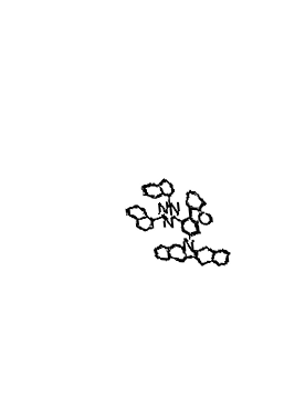 c1ccc2cc3c(cc2c1)c1cc2ccccc2cc1n3-c1cc(-c2nc(-c3cccc4ccccc34)nc(-c3cccc4ccccc34)n2)c2c(c1)oc1ccccc12